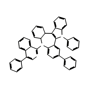 C1=CC2c3c(n(-c4ccccc4)c4ccccc34)-c3cc(-c4ccccc4)ccc3N(c3ncc(-c4ccccc4)c4ccccc34)C2C=C1